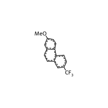 COc1ccc2c(ccc3cc(C(F)(F)F)ccc32)c1